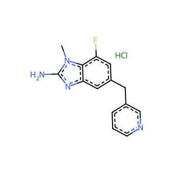 Cl.Cn1c(N)nc2cc(Cc3cccnc3)cc(F)c21